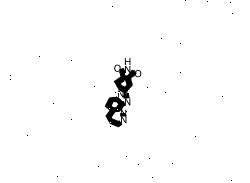 O=C1NC(=O)c2ccccc21.c1cnnc2c(c1)ccc1ncnc12